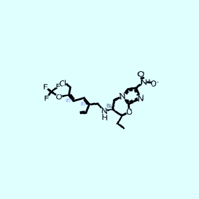 C=C/C(=C\C=C(/CCl)OC(F)(F)F)CN[C@H]1Cn2cc([N+](=O)[O-])nc2OC1CC